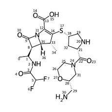 CC(NC(=O)C(F)F)[C@H]1C(=O)N2C(C(=O)O)=C(S[C@@H]3CN[C@H](C(=O)N4CCO[C@@H](CN)C4)C3)[C@H](C)[C@H]12